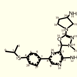 CC(C)Sc1ccc(-c2cnc(N)c(C3OC(N4CCC(N)C4)=NN3C)n2)cc1